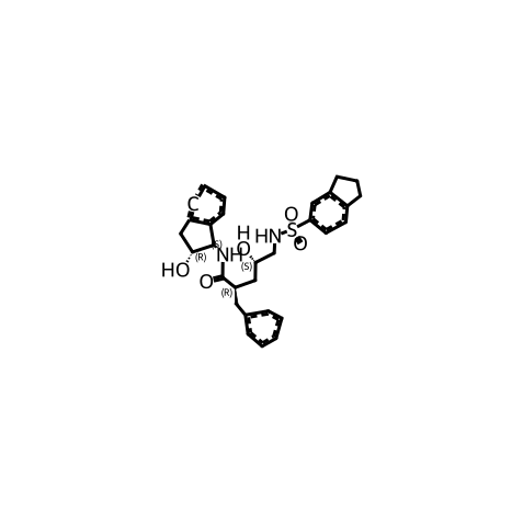 O=C(N[C@H]1c2ccccc2C[C@H]1O)[C@H](Cc1ccccc1)C[C@H](O)CNS(=O)(=O)c1ccc2c(c1)CCC2